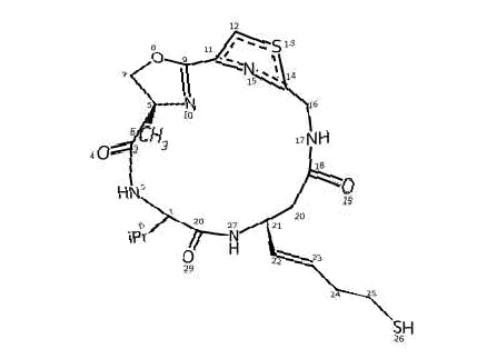 CC(C)C1NC(=O)[C@]2(C)COC(=N2)c2csc(n2)CNC(=O)C[C@@H](/C=C/CCS)NC1=O